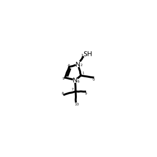 CC1N(S)C=CN1C(C)(C)C